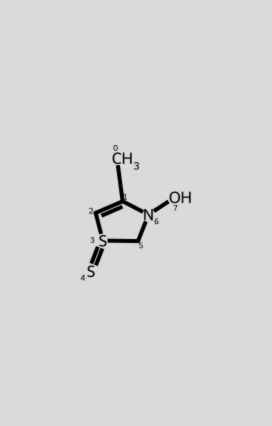 CC1=CS(=S)CN1O